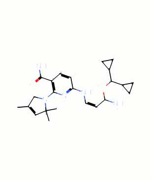 CC1=CC(C)(C)N(c2nc(N/C=C\C(N)OC(C3CC3)C3CC3)ccc2C(N)=O)C1